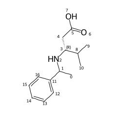 CC(N[C@H](CC(=O)O)C(C)C)c1ccccc1